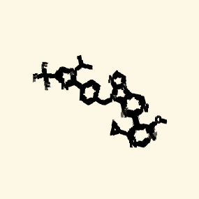 COc1ncnc(C2CC2)c1-c1ncc2c(n1)n(Cc1ccc(-c3nc(C(F)(F)F)cn3C(C)C)cc1)c1nccn21